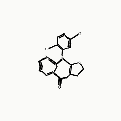 O=c1c2c(n(-c3cc(Cl)ccc3Cl)c3ncccc13)OCC2